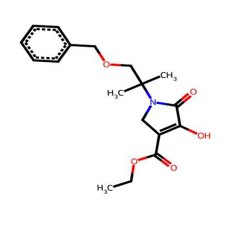 CCOC(=O)C1=C(O)C(=O)N(C(C)(C)COCc2ccccc2)C1